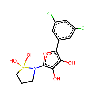 Oc1c(-c2cc(Cl)cc(Cl)c2)oc(N2CCCS2(O)O)c1O